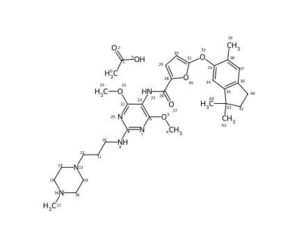 CC(=O)O.COc1nc(NCCCN2CCN(C)CC2)nc(OC)c1NC(=O)c1ccc(Oc2cc3c(cc2C)CCC3(C)C)o1